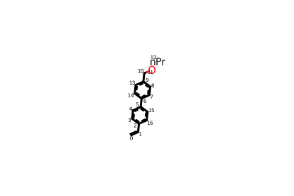 C=Cc1ccc(-c2ccc(COCCC)cc2)cc1